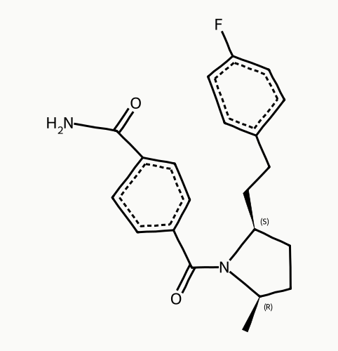 C[C@@H]1CC[C@H](CCc2ccc(F)cc2)N1C(=O)c1ccc(C(N)=O)cc1